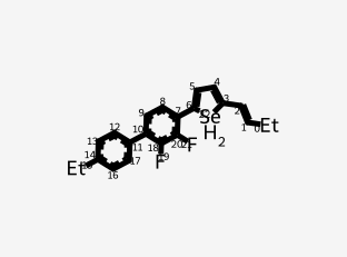 CCC=CC1=CC=C(c2ccc(-c3ccc(CC)cc3)c(F)c2F)[SeH2]1